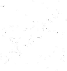 Cc1cc(OCc2nnc(SC3C=CCCC3)n2-c2cccnc2)ccc1C#CCNS(=O)(=O)C1CCN(C(=O)OC(C)(C)C)CC1